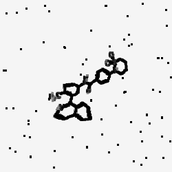 Cc1ccc(NC(=O)c2ccc(N3CCCCS3(=O)=O)cc2)cc1-c1nccc2ccccc12